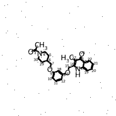 CC(=O)N1CCC(COc2cccc(OCc3[nH]c4ccccc4c(=O)c3C)c2)CC1